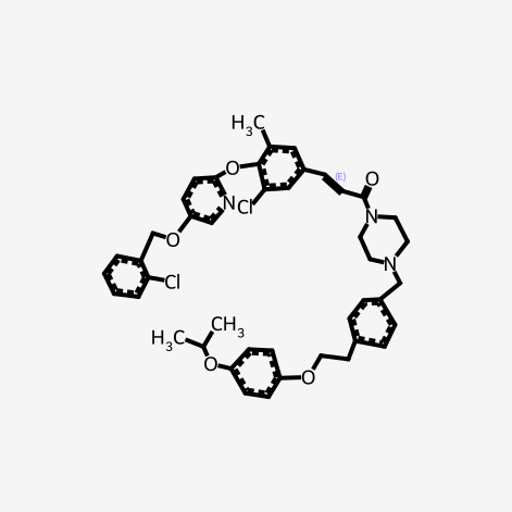 Cc1cc(/C=C/C(=O)N2CCN(Cc3ccc(CCOc4ccc(OC(C)C)cc4)cc3)CC2)cc(Cl)c1Oc1ccc(OCc2ccccc2Cl)cn1